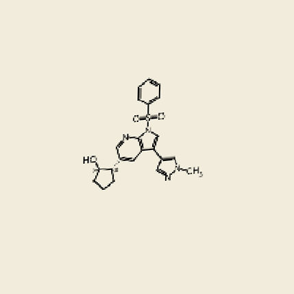 Cn1cc(-c2cn(S(=O)(=O)c3ccccc3)c3ncc([C@@H]4CCC[C@H]4O)cc23)cn1